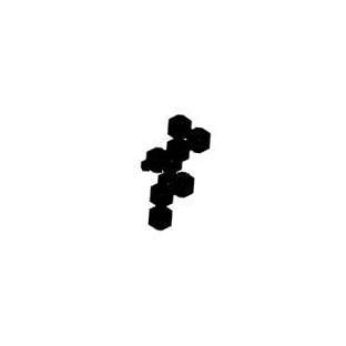 Cc1ccc2[n+](c1)/C(=C1\Cc3ccc(-c4ccccc4)cc3-c3cccc[n+]31)Cc1cc3c4ccccc4c4ccccc4c3cc1-2